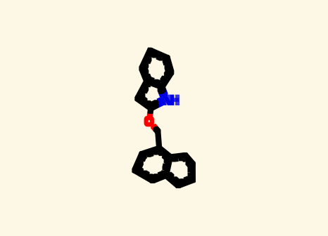 c1ccc2[nH]c(OCc3cccc4ccccc34)cc2c1